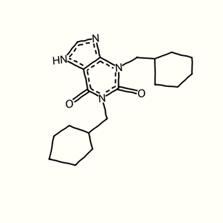 O=c1c2[nH]cnc2n(CC2CCCCC2)c(=O)n1CC1CCCCC1